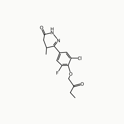 CCC(=O)COc1c(F)cc(C2=NNC(=O)CC2C)cc1Cl